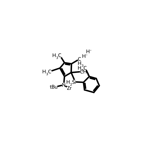 CC1=C(C)C(C)([SiH2]c2ccccc2C)C([N]([Zr])C(C)(C)C)=C1C.[H-].[H-]